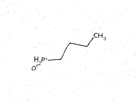 CCCC[PH2+][O-]